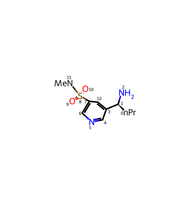 CCC[C@H](N)c1cncc(S(=O)(=O)NC)c1